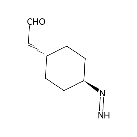 N=N[C@H]1CC[C@H](CC=O)CC1